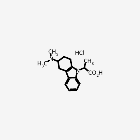 CC(C(=O)O)n1c2c(c3ccccc31)CC(N(C)C)CC2.Cl